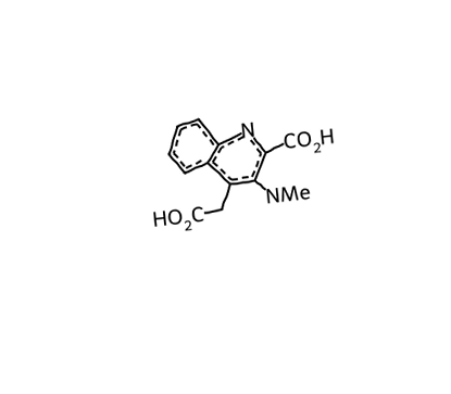 CNc1c(C(=O)O)nc2ccccc2c1CC(=O)O